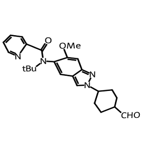 COc1cc2nn(C3CCC(C=O)CC3)cc2cc1N(C(=O)c1ccccn1)C(C)(C)C